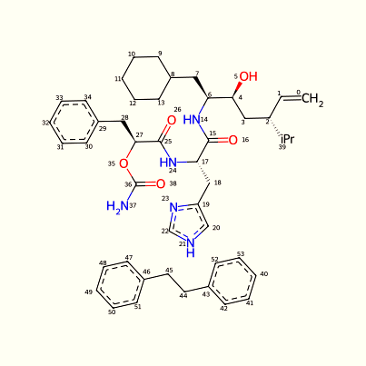 C=C[C@@H](C[C@H](O)[C@H](CC1CCCCC1)NC(=O)[C@H](Cc1c[nH]cn1)NC(=O)[C@H](Cc1ccccc1)OC(N)=O)C(C)C.c1ccc(CCc2ccccc2)cc1